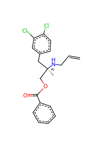 C=CCN[C@@](C)([CH]OC(=O)c1ccccc1)Cc1ccc(Cl)c(Cl)c1